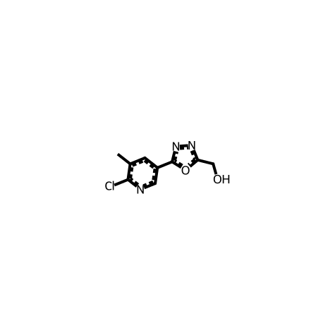 Cc1cc(-c2nnc(CO)o2)cnc1Cl